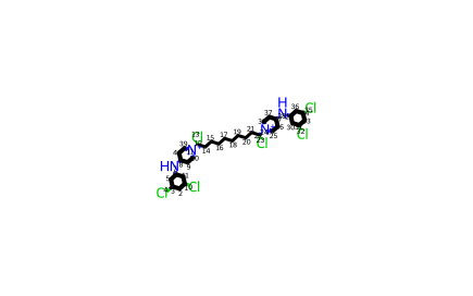 Clc1cc(Cl)cc(Nc2cc[n+](C(Cl)CCCCCCCCC(Cl)[n+]3ccc(Nc4cc(Cl)cc(Cl)c4)cc3)cc2)c1